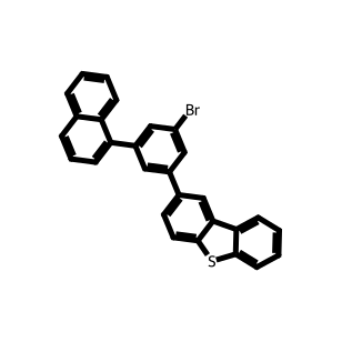 Brc1cc(-c2ccc3sc4ccccc4c3c2)cc(-c2cccc3ccccc23)c1